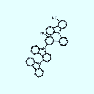 N#Cc1cc(-c2ccccc2-n2c3ccccc3c3c(C#N)cccc32)cc(-n2c3ccccc3c3c(-n4c5ccccc5c5ccccc54)cccc32)c1